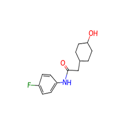 O=C(CC1CCC(O)CC1)Nc1ccc(F)cc1